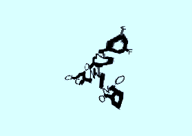 O=C1c2ccccc2C(=O)N1CCn1c2c(c(=O)n1Cc1ccc(Cl)cc1)CN(Cc1cc(F)cc(F)c1)CC2